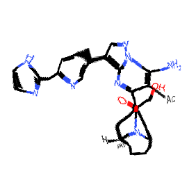 CC(=O)c1c(C2CC3CC[C@H](C2)N3C(=O)CO)nc2c(-c3ccc(-c4ncc[nH]4)nc3)cnn2c1N